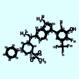 CN(c1ncc2c(-c3cc(C(F)(F)F)c(F)c(O)c3F)nn(C)c2n1)[C@@H]1C[C@@H](c2ccccc2)CN(S(C)(=O)=O)C1